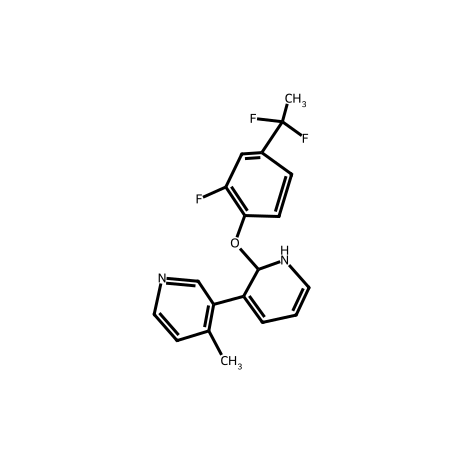 Cc1ccncc1C1=CC=CNC1Oc1ccc(C(C)(F)F)cc1F